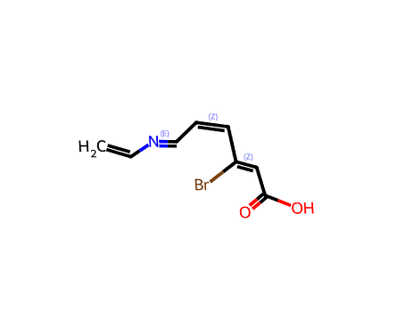 C=C/N=C/C=C\C(Br)=C\C(=O)O